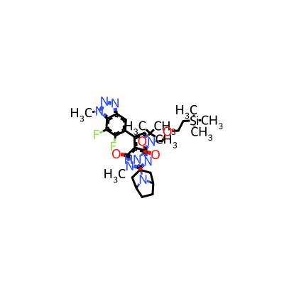 Cn1c(N2C3CCC2CC(NC(=O)OC(C)(C)C)C3)nc2c(c(-c3cc4nnn(C)c4c(F)c3F)cn2COCC[Si](C)(C)C)c1=O